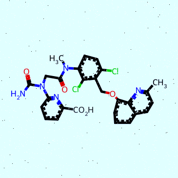 Cc1ccc2cccc(OCc3c(Cl)ccc(N(C)C(=O)CN(C(N)=O)c4cccc(C(=O)O)n4)c3Cl)c2n1